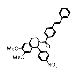 COc1cc2c(cc1OC)C(c1ccc([N+](=O)[O-])cc1)N(C(=O)c1ccc(/C=C/c3ccccc3)cc1)CC2